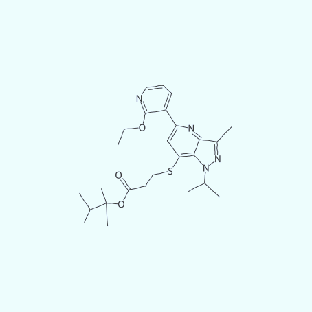 CCOc1ncccc1-c1cc(SCCC(=O)OC(C)(C)C(C)C)c2c(n1)c(C)nn2C(C)C